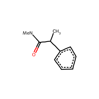 CNC(=O)C(C)c1ccccc1